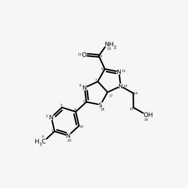 Cc1ncc(C2=NC3C(C(N)=O)=NN(CCO)C3S2)cn1